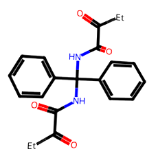 CCC(=O)C(=O)NC(NC(=O)C(=O)CC)(c1ccccc1)c1ccccc1